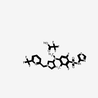 Cc1c(N(C)C2CCN(Cc3cccc(C(F)(F)F)n3)C2)cc(F)c(S(=O)(=O)Nc2cscn2)c1F.O=C(O)C(F)(F)F